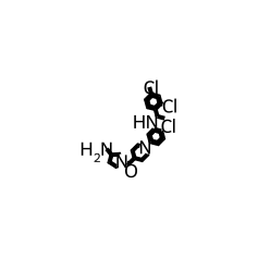 CC(Nc1cc(N2CCC(C(=O)N3CCC(N)C3)CC2)ccc1Cl)c1ccc(Cl)cc1Cl